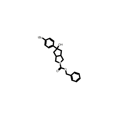 CC(C)(C)c1ccc(C2(O)CC3CN(C(=O)OCc4ccccc4)CC3C2)cc1